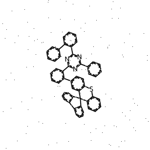 c1ccc(-c2nc(-c3ccccc3-c3ccccc3)nc(-c3ccccc3-c3ccc4c(c3)C3(c5ccccc5S4)c4ccccc4-c4ccccc43)n2)cc1